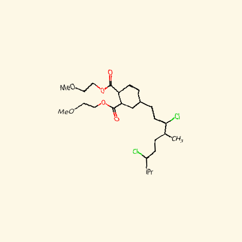 COCCOC(=O)C1CCC(CCC(Cl)C(C)CCC(Cl)C(C)C)CC1C(=O)OCCOC